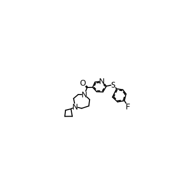 O=C(c1ccc(Sc2ccc(F)cc2)nc1)N1CCCN(C2CCC2)CC1